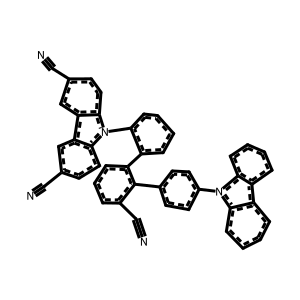 N#Cc1ccc2c(c1)c1cc(C#N)ccc1n2-c1ccccc1-c1cccc(C#N)c1-c1ccc(-n2c3ccccc3c3ccccc32)cc1